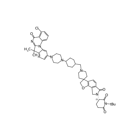 CC1(C)c2ccc(N3CCN(C4CCC(CN5CCC6(CC5)COc5c6ccc6c5CN([C@H]5CCC(=O)N(C(C)(C)C)C5=O)C6=O)CC4)CC3)cc2-n2c1nc(=O)c1c(Cl)cccc12